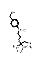 CC(C)Cc1ccc(OCCOC(C)(CC(C)C)N(C)C)cc1.Cl